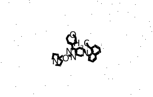 CCc1cccc2cccc(N3CCc4c(nc(OCC56CCCN5CCC6)nc4C4=CCCOCC4)C3)c12